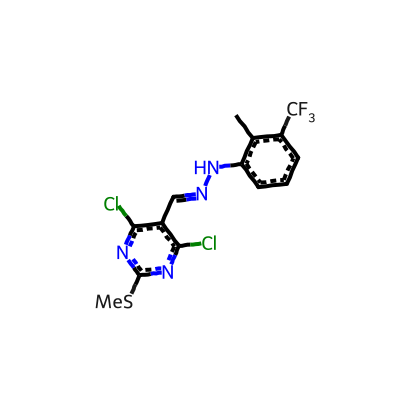 CSc1nc(Cl)c(/C=N/Nc2cccc(C(F)(F)F)c2C)c(Cl)n1